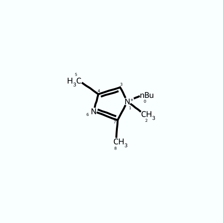 CCCC[N+]1(C)C=C(C)N=C1C